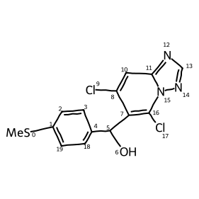 CSc1ccc(C(O)c2c(Cl)cc3ncnn3c2Cl)cc1